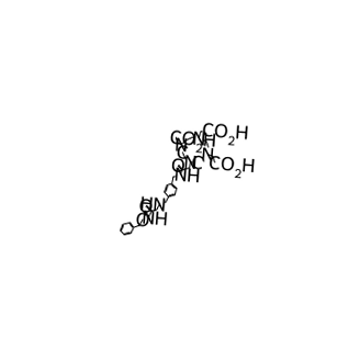 O=C(O)CN1CCN(CC(=O)O)CCN(CC(=O)NCc2ccc(CNCC(=O)NOCc3ccccc3)cc2)CCN(CC(=O)O)CC1